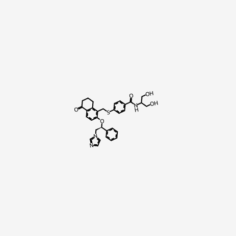 O=C(NC(CO)CO)c1ccc(SCc2c(O[C@H](Cn3ccnc3)c3ccccc3)ccc3c2CCCC3=O)cc1